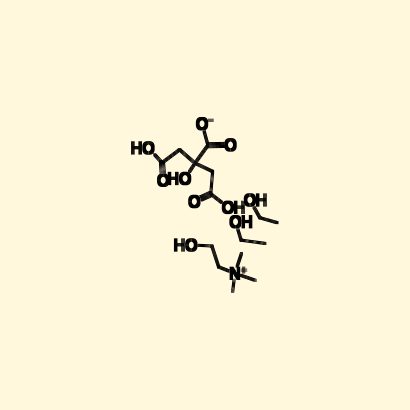 CCO.CCO.C[N+](C)(C)CCO.O=C(O)CC(O)(CC(=O)O)C(=O)[O-]